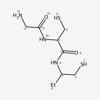 CCC(CS)NC(=O)C(CS)NC(=O)CN